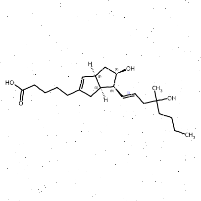 CCCCC(C)(O)C/C=C/[C@H]1[C@H]2CC(CCCCC(=O)O)=C[C@H]2C[C@H]1O